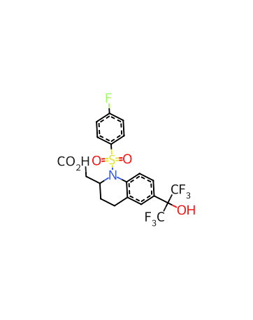 O=C(O)CC1CCc2cc(C(O)(C(F)(F)F)C(F)(F)F)ccc2N1S(=O)(=O)c1ccc(F)cc1